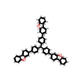 c1ccc2c(c1)oc1cc(-c3ccc(C(c4ccc(-c5ccc6c(c5)oc5ccccc56)cc4)c4ccc(-c5ccc6c(c5)oc5ccccc56)cc4)cc3)ccc12